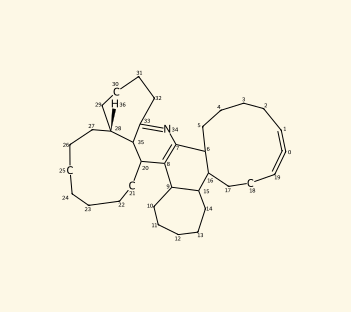 C1=CCCCCC2C3=C(C4CCCCCC4C2CCC=1)C1CCCCCCC[C@@H]2CCCCC(=N3)C12